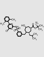 Cc1cccc(C)c1-c1cc(Cl)nc(NS(=O)(=O)c2cccc(CC3C[C@@H](O)CN(C(=O)OC(C)(C)C)C[C@H]3CC(C)C)c2)n1